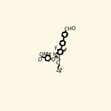 COC(=O)C1CCC(Oc2nc3c(F)c(-c4ccc(-c5ccc(C=O)cc5)cc4)c(F)cc3n2COCC[Si](C)(C)C)CC1